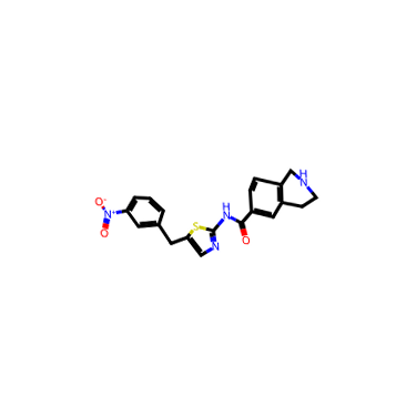 O=C(Nc1ncc(Cc2cccc([N+](=O)[O-])c2)s1)c1ccc2c(c1)CCNC2